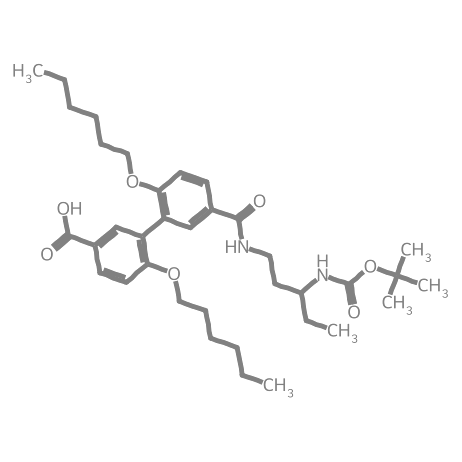 CCCCCCOc1ccc(C(=O)O)cc1-c1cc(C(=O)NCCC(CC)NC(=O)OC(C)(C)C)ccc1OCCCCCC